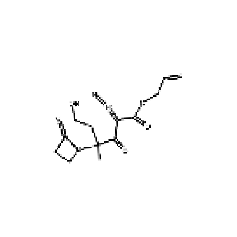 C=CCOC(=O)C(=[N+]=[N-])C(=O)[C@@](C)(CCO)N1CCC1=O